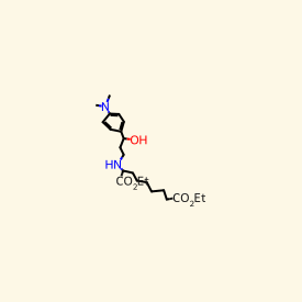 CCOC(=O)CCCCCCC(NCCC(O)c1ccc(N(C)C)cc1)C(=O)OCC